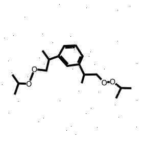 CC(C)OOCC(C)c1cccc(C(C)COOC(C)C)c1